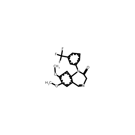 COc1cc2c(cc1OC)N(c1cccc(C(F)(F)F)c1)C(=O)CN=C2